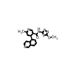 COc1nnc(NC(=O)c2cnc(C)cc2-c2cccc3cnccc23)s1